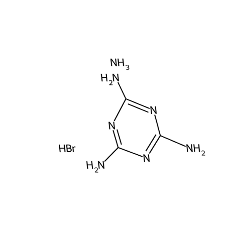 Br.N.Nc1nc(N)nc(N)n1